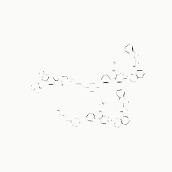 Cc1c(OC2CCC(CCCC=O)CC2)cccc1-c1ccc(N2CCc3cccc(C(=O)Nc4nc5ccccc5s4)c3C2)nc1C(=O)OC(C)(C)C.Cc1c(OC2CCC(CCCCN3CCN(c4ccc5c(C6CCC(=O)NC6=O)nn(C)c5c4)C(C)(C)C3)CC2)cccc1-c1ccc(N2CCc3cccc(C(=O)Nc4nc5ccccc5s4)c3C2)nc1C(=O)OC(C)(C)C